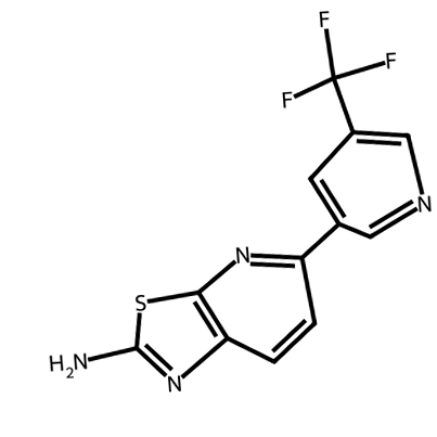 Nc1nc2ccc(-c3cncc(C(F)(F)F)c3)nc2s1